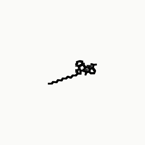 CCCCCCCCCCCCc1cc(NC(=O)Nc2c(C(C)C)cccc2C(C)C)n(-c2ccccn2)n1